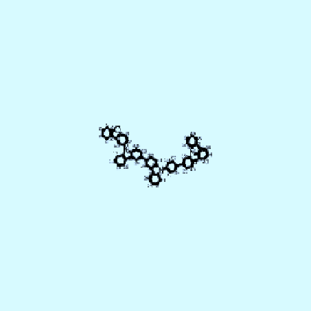 c1ccc2c(c1)oc1ccc(-n3c4ccccc4c4cc(-c5ccc6c(c5)c5ccccc5n6-c5ccc(-c6ccc7c8cccc9c%10ccccc%10n(c7c6)c98)cc5)ccc43)cc12